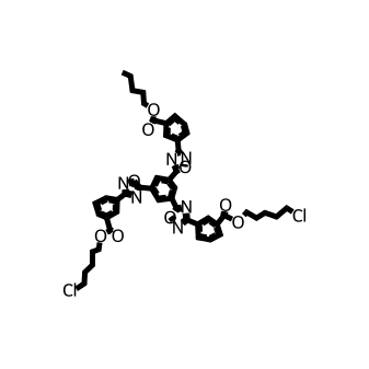 CCCCCOC(=O)c1cccc(-c2noc(-c3cc(-c4nc(-c5cccc(C(=O)OCCCCCCl)c5)no4)cc(-c4nc(-c5cccc(C(=O)OCCCCCCl)c5)no4)c3)n2)c1